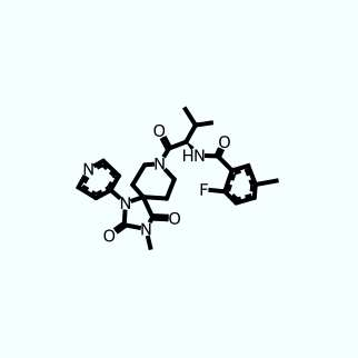 Cc1ccc(F)c(C(=O)N[C@@H](C(=O)N2CCC3(CC2)C(=O)N(C)C(=O)N3c2ccncc2)C(C)C)c1